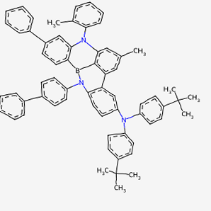 Cc1cc2c3c(c1)N(c1ccccc1C)c1cc(-c4ccccc4)ccc1B3N(c1ccc(-c3ccccc3)cc1)c1ccc(N(c3ccc(C(C)(C)C)cc3)c3ccc(C(C)(C)C)cc3)cc1-2